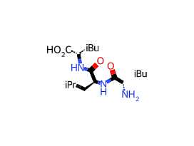 CC[C@H](C)[C@H](N)C(=O)N[C@@H](CC(C)C)C(=O)N[C@H](C(=O)O)[C@@H](C)CC